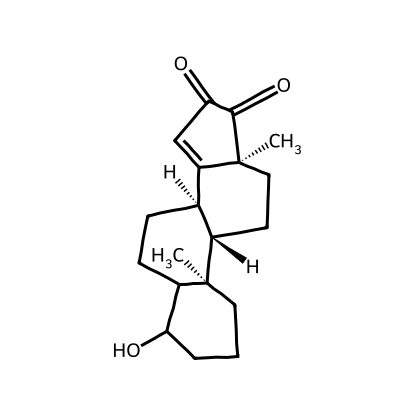 C[C@]12CC[C@H]3[C@@H](CCC4C(O)CCC[C@@]43C)C1=CC(=O)C2=O